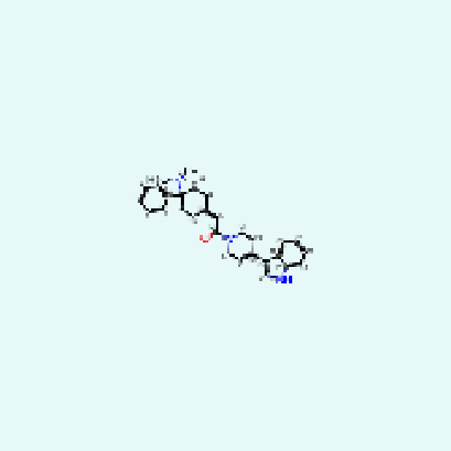 CN(C)C1(c2ccccc2)CCC(=CC(=O)N2CC=C(c3c[nH]c4ccccc34)CC2)CC1